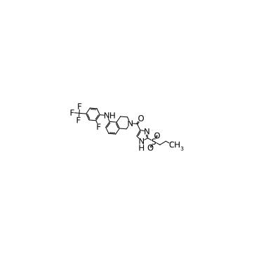 CCCS(=O)(=O)c1nc(C(=O)N2CCc3c(cccc3Nc3ccc(C(F)(F)F)cc3F)C2)c[nH]1